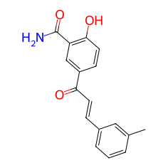 Cc1cccc(C=CC(=O)c2ccc(O)c(C(N)=O)c2)c1